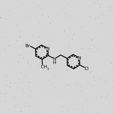 Cc1cc(Br)cnc1NCc1ccc(Cl)nc1